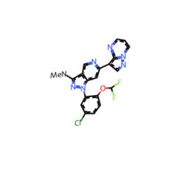 CNc1nn(-c2cc(Cl)ccc2OC(F)F)c2cc(-c3cnn4cccnc34)ncc12